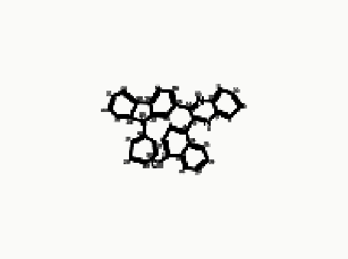 Clc1ccc(-c2nc3ccccc3nc2-c2ccc3c4ccccc4n(-c4ccccc4)c3c2)c2ccccc12